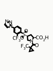 O=C(O)[C@@H]1C[C@@H](S(=O)(=O)c2ccc(-n3ccnn3)cc2C(F)(F)F)CN1C(=O)C1(C(F)(F)F)CC1